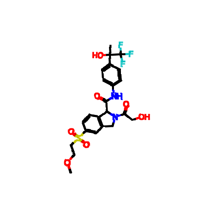 COCCS(=O)(=O)c1ccc2c(c1)CN(C(=O)CO)C2C(=O)Nc1ccc(C(C)(O)C(F)(F)F)cc1